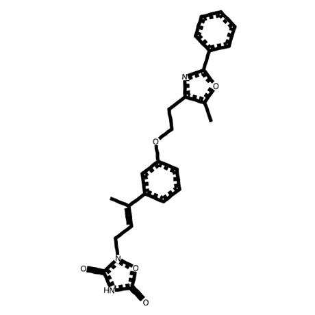 CC(=CCn1oc(=O)[nH]c1=O)c1cccc(OCCc2nc(-c3ccccc3)oc2C)c1